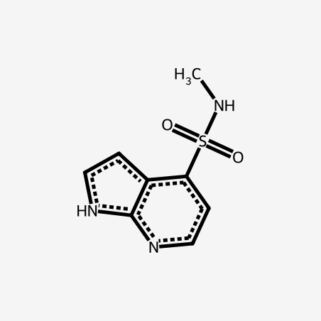 CNS(=O)(=O)c1ccnc2[nH]ccc12